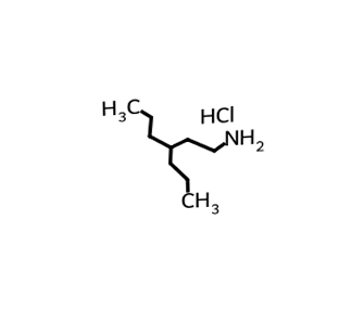 CCCC(CCC)CCN.Cl